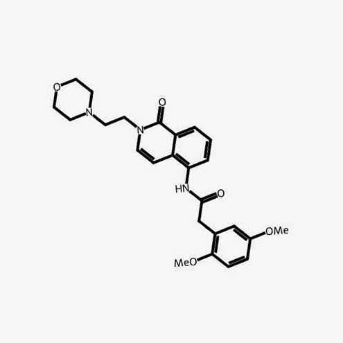 COc1ccc(OC)c(CC(=O)Nc2cccc3c(=O)n(CCN4CCOCC4)ccc23)c1